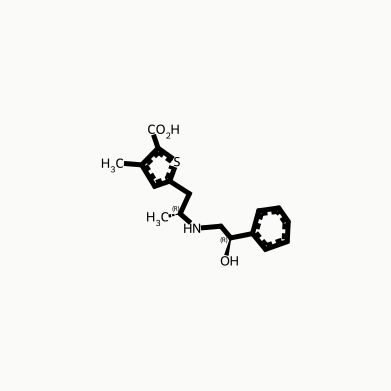 Cc1cc(C[C@@H](C)NC[C@H](O)c2ccccc2)sc1C(=O)O